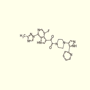 Cc1ncn(-c2ncc(F)c3c(C(=O)C(=O)N4CCN(c5cn[nH]c5-c5ccccn5)CC4)c[nH]c23)n1